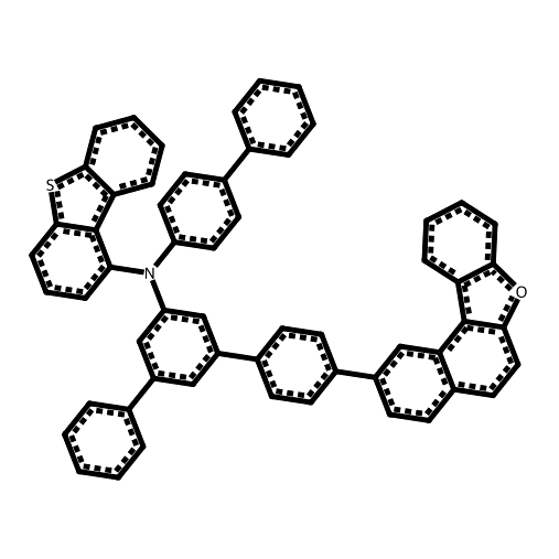 c1ccc(-c2ccc(N(c3cc(-c4ccccc4)cc(-c4ccc(-c5ccc6ccc7oc8ccccc8c7c6c5)cc4)c3)c3cccc4sc5ccccc5c34)cc2)cc1